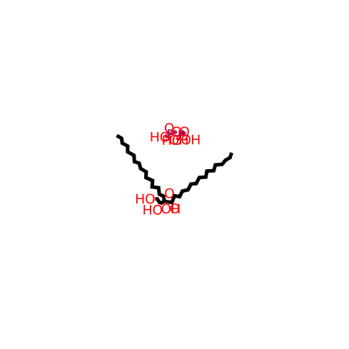 CCCCCCCCCCCCCCCC(=O)C(O)(C(=O)CCCCCCCCCCCCCCC)C(O)CO.O=P(O)(O)OP(=O)(O)O